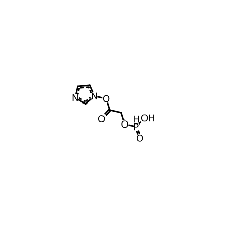 O=C(CO[PH](=O)O)On1ccnc1